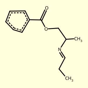 CCC=NC(C)COC(=O)c1ccccc1